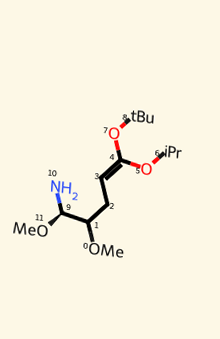 COC(C/C=C(\OC(C)C)OC(C)(C)C)[C@H](N)OC